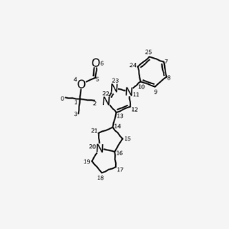 CC(C)(C)OC=O.c1ccc(-n2cc(C3CC4CCCN4C3)nn2)cc1